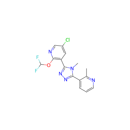 Cc1ncccc1-c1nnc(-c2cc(Cl)cnc2OC(F)F)n1C